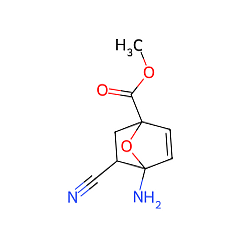 COC(=O)C12C=CC(N)(O1)C(C#N)C2